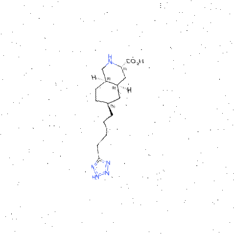 O=C(O)[C@@H]1C[C@H]2C[C@@H](CCCCc3nn[nH]n3)CC[C@H]2CN1